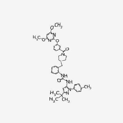 COc1cc(OC)nc(Oc2cccc(C(=O)N3CCC(Cc4ccccc4NC(=O)Nc4cc(C(C)(C)C)nn4-c4ccc(C)cc4)CC3)c2)n1